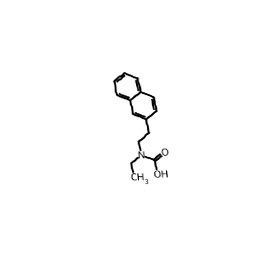 CCN(CCc1ccc2ccccc2c1)C(=O)O